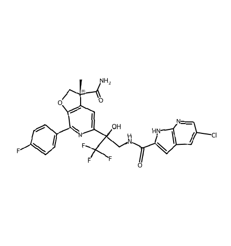 C[C@]1(C(N)=O)COc2c1cc(C(O)(CNC(=O)c1cc3cc(Cl)cnc3[nH]1)C(F)(F)F)nc2-c1ccc(F)cc1